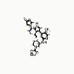 C=Cc1c(-c2nc(N[C@H]3CCCN(C(=O)OC(C)(C)C)C3)ncc2C(F)(F)F)c[nH]c1/C(=C\C)n1cnc(C)c1